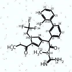 CCC(=O)c1cc(C(C(=O)N(C)C(=N)N)c2cccc(-c3cccnc3F)c2)cn1CC(F)(F)F